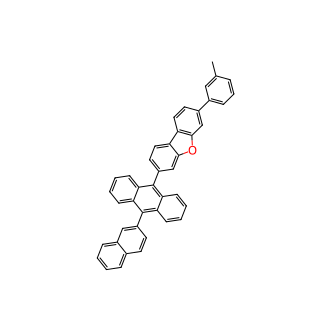 Cc1cccc(-c2ccc3c(c2)oc2cc(-c4c5ccccc5c(-c5ccc6ccccc6c5)c5ccccc45)ccc23)c1